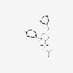 CC(C)OS(=O)(=O)C1CN(Cc2ccccc2)CC1(C)c1ccc(F)cc1